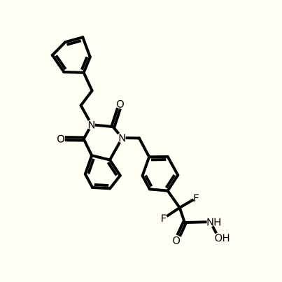 O=C(NO)C(F)(F)c1ccc(Cn2c(=O)n(CCc3ccccc3)c(=O)c3ccccc32)cc1